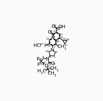 Cc1c(N2CCC(N(CC(F)(F)F)C(=O)OC(C)(C)C)C2)c(F)cn2c(=O)c(C(=O)O)cc(C3CC3)c12.Cl